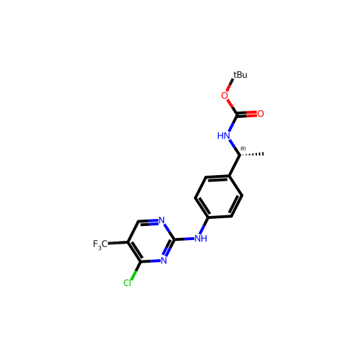 C[C@@H](NC(=O)OC(C)(C)C)c1ccc(Nc2ncc(C(F)(F)F)c(Cl)n2)cc1